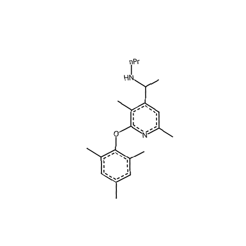 CCCNC(C)c1cc(C)nc(Oc2c(C)cc(C)cc2C)c1C